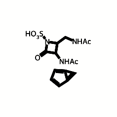 CC(=O)NCC1C(NC(C)=O)C(=O)N1S(=O)(=O)O.c1cc2cc-2c1